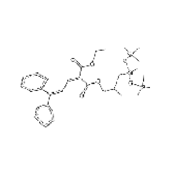 CCOC(=O)/C(=C/C=C(c1ccccc1)c1ccccc1)C(=O)OCC(C)C[Si](C)(O[Si](C)(C)C)O[Si](C)(C)C